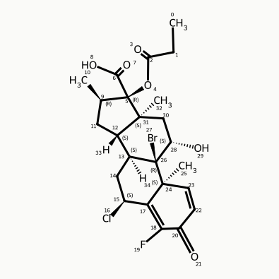 CCC(=O)O[C@]1(C(=O)O)[C@H](C)C[C@H]2[C@@H]3C[C@H](Cl)C4=C(F)C(=O)C=C[C@]4(C)[C@@]3(Br)[C@@H](O)C[C@@]21C